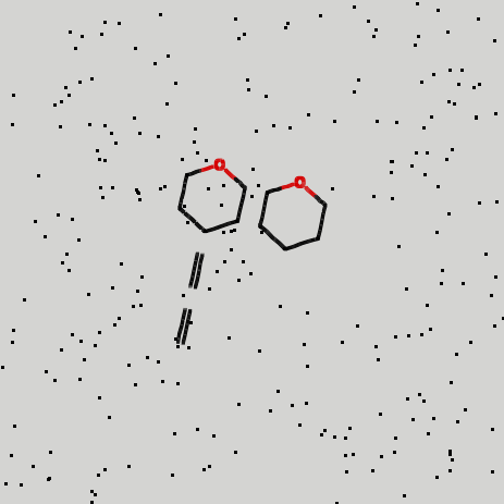 C1CCOCC1.C1CCOCC1.C=C.C=C